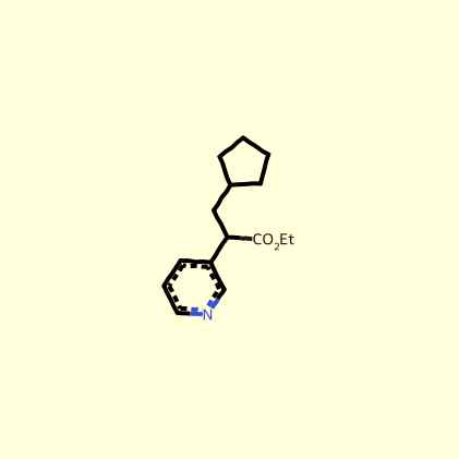 CCOC(=O)C(CC1CCCC1)c1cccnc1